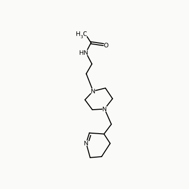 CC(=O)NCCN1CCN(CC2C=NCCC2)CC1